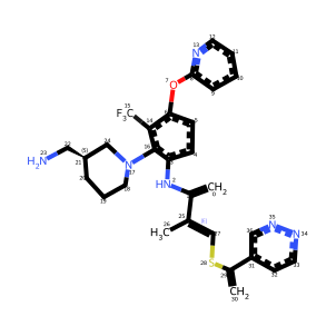 C=C(Nc1ccc(Oc2ccccn2)c(C(F)(F)F)c1N1CCC[C@@H](CN)C1)/C(C)=C/SC(=C)c1ccnnc1